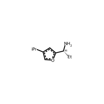 CC[C@@H](N)c1cc(C(C)C)co1